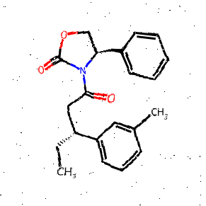 CC[C@H](CC(=O)N1C(=O)OC[C@H]1c1ccccc1)c1cccc(C)c1